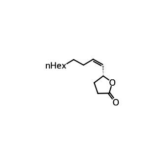 CCCCCCCC/C=C\[C@H]1CCC(=O)O1